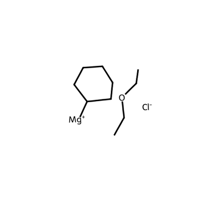 CCOCC.[Cl-].[Mg+][CH]1CCCCC1